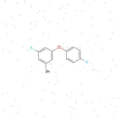 CC(C)c1cc(F)cc(Oc2ccc(F)cc2)c1